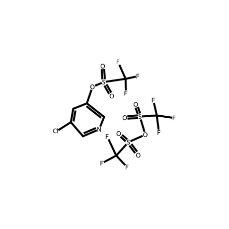 O=S(=O)(OS(=O)(=O)C(F)(F)F)C(F)(F)F.O=S(=O)(Oc1cncc(Cl)c1)C(F)(F)F